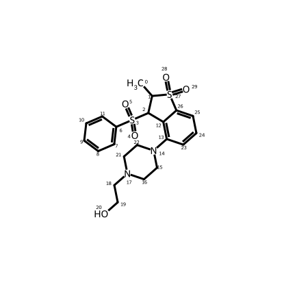 CC1C(S(=O)(=O)c2ccccc2)c2c(N3CCN(CCO)CC3)cccc2S1(=O)=O